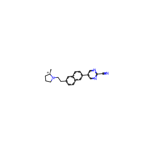 C[C@@H]1CCCN1CCc1ccc2cc(-c3cnc(C#N)nc3)ccc2c1